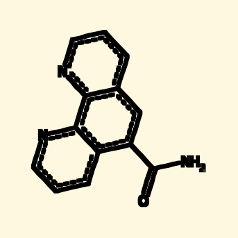 NC(=O)c1cc2cccnc2c2ncccc12